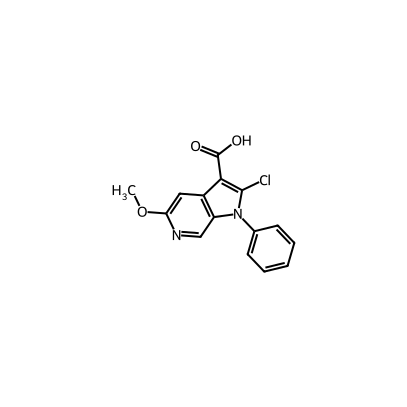 COc1cc2c(C(=O)O)c(Cl)n(-c3ccccc3)c2cn1